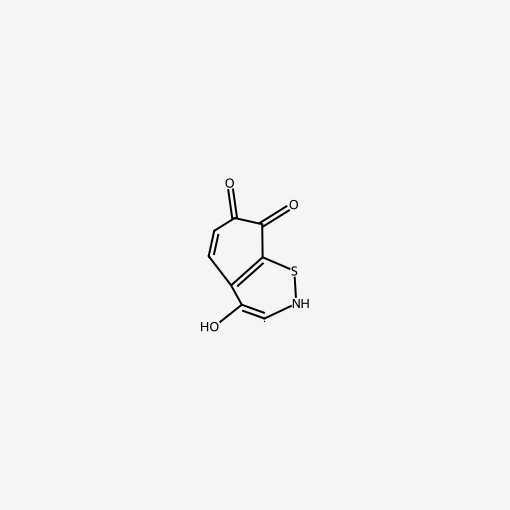 O=c1ccc2c(O)[c][nH]sc=2c1=O